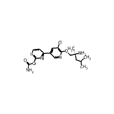 CC(C)C[C@](C)(N)COc1ncc(-c2ccnc(OC(N)=O)n2)cc1Cl